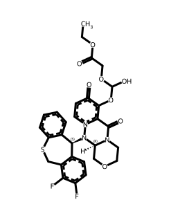 CCOC(=O)COC(O)Oc1c2n(ccc1=O)N([C@@H]1c3ccccc3SCc3c1ccc(F)c3F)[C@@H]1COCCN1C2=O